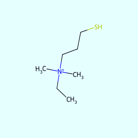 CC[N+](C)(C)CCCS